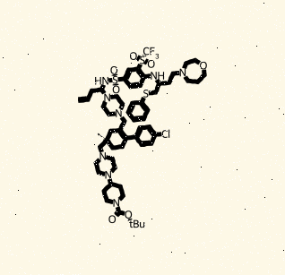 C=CCC(NS(=O)(=O)c1ccc(NC(CCN2CCCOCC2)CSc2ccccc2)c(S(=O)(=O)C(F)(F)F)c1)N1CCN(CC2=C(c3ccc(Cl)cc3)CC[C@@](C)(CN3CCN(C4CCN(C(=O)OC(C)(C)C)CC4)CC3)C2)CC1